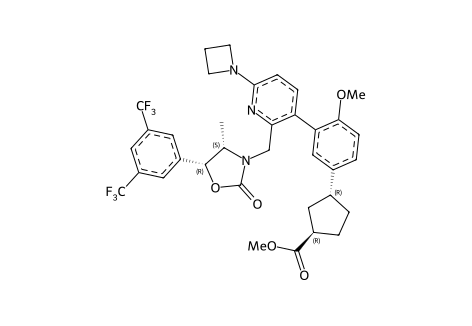 COC(=O)[C@@H]1CC[C@@H](c2ccc(OC)c(-c3ccc(N4CCC4)nc3CN3C(=O)O[C@H](c4cc(C(F)(F)F)cc(C(F)(F)F)c4)[C@@H]3C)c2)C1